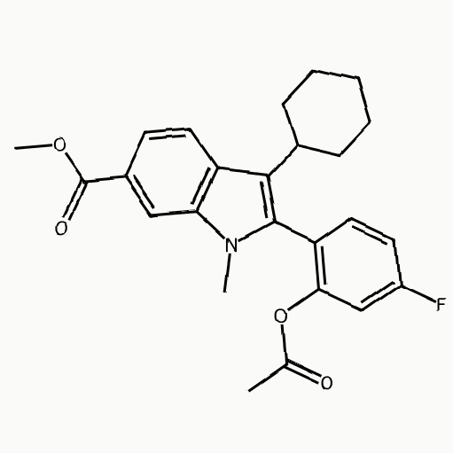 COC(=O)c1ccc2c(C3CCCCC3)c(-c3ccc(F)cc3OC(C)=O)n(C)c2c1